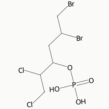 O=P(O)(O)OC(CC(Br)CBr)C(Cl)CCl